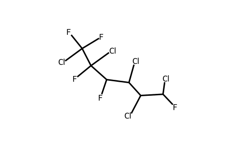 FC(Cl)C(Cl)C(Cl)C(F)C(F)(Cl)C(F)(F)Cl